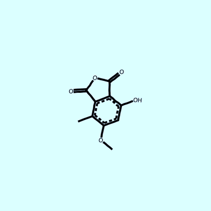 COc1cc(O)c2c(c1C)C(=O)OC2=O